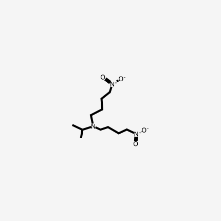 CC(C)N(CCCC[N+](=O)[O-])CCCC[N+](=O)[O-]